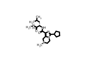 CNC(=O)[C@H](CC(C)C)NC(=O)c1nc(C2CCCC2)n2c1CN(C)CC2